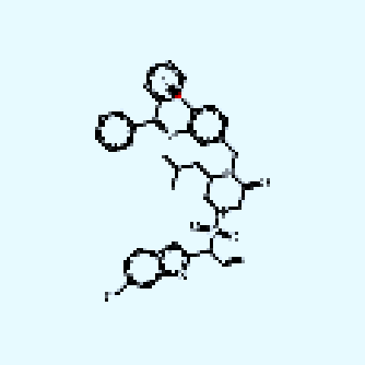 C=CC(c1cc2ccc(Cl)cc2s1)S(=O)(=O)N1CC(=O)N(Cc2ccc(C#N)c(N=C(c3ccccc3)c3ccccc3)c2)C(CC(C)C)C1